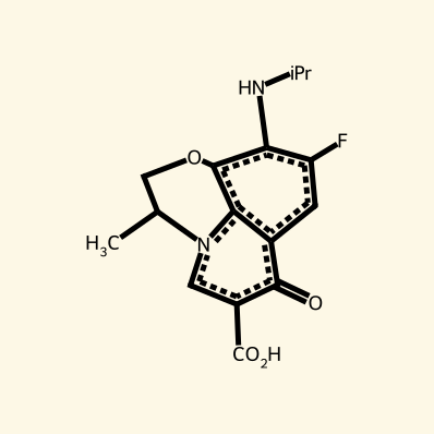 CC(C)Nc1c(F)cc2c(=O)c(C(=O)O)cn3c2c1OCC3C